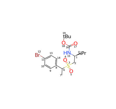 CC(C)[C@@H](CS(=O)(=O)C(C)c1ccc(Br)cc1)NC(=O)OC(C)(C)C